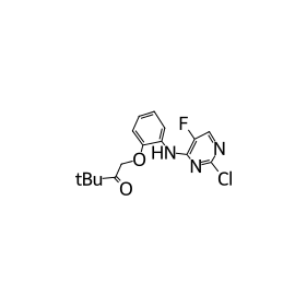 CC(C)(C)C(=O)COc1ccccc1Nc1nc(Cl)ncc1F